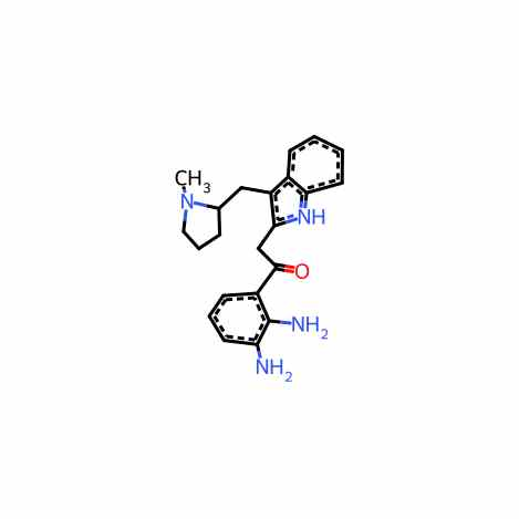 CN1CCCC1Cc1c(CC(=O)c2cccc(N)c2N)[nH]c2ccccc12